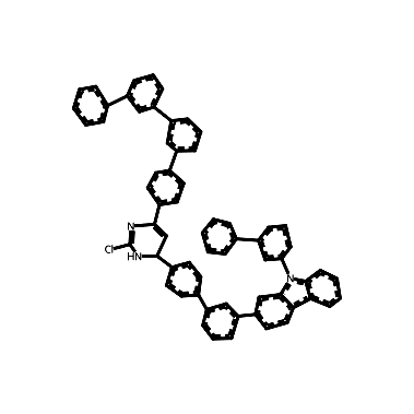 ClC1=NC(c2ccc(-c3cccc(-c4cccc(-c5ccccc5)c4)c3)cc2)=CC(c2ccc(-c3cccc(-c4ccc5c6ccccc6n(-c6cccc(-c7ccccc7)c6)c5c4)c3)cc2)N1